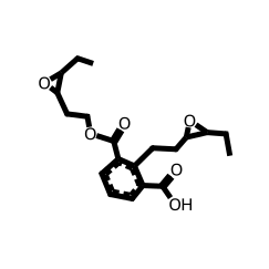 CCC1OC1CCOC(=O)c1cccc(C(=O)O)c1CCC1OC1CC